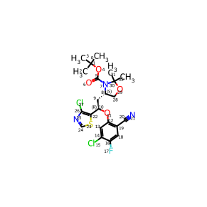 CC(C)(C)OC(=O)N1[C@@H](C[C@@H](Oc2cc(Cl)c(F)cc2C#N)c2scnc2Cl)COC1(C)C